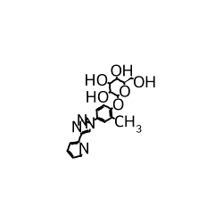 Cc1cc(-n2cc(-c3ccccn3)nn2)ccc1OC1O[C@H](CO)C(O)C(O)C1O